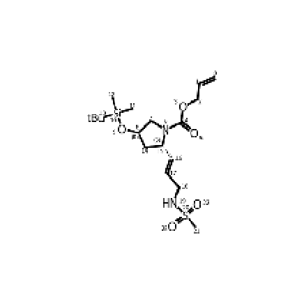 C=CCOC(=O)N1C[C@H](O[Si](C)(C)C(C)(C)C)C[C@H]1C=CCNS(C)(=O)=O